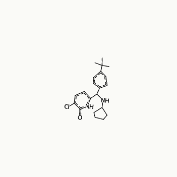 CC(C)(C)c1ccc(C(NC2CCCC2)c2ccc(Cl)c(=O)[nH]2)cc1